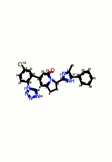 Cc1nc(C2CCc3cc(-c4cc(Cl)ccc4-n4cnnn4)cc(=O)n32)[nH]c1-c1cc[c]cc1